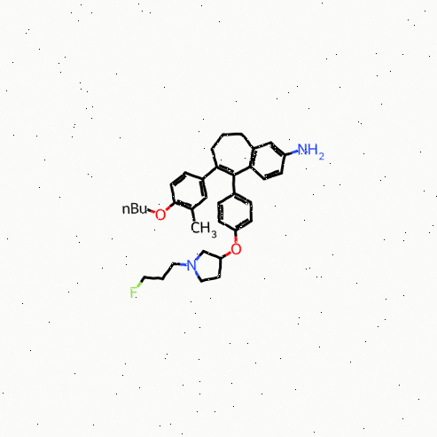 CCCCOc1ccc(C2=C(c3ccc(OC4CCN(CCCF)C4)cc3)c3ccc(N)cc3CCC2)cc1C